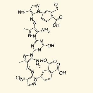 [C-]#[N+]c1cnn(-c2ccc(C(=O)O)c(C(=O)O)c2)c1/N=N/c1c(C)nn(-c2nc(O)nc(-n3nc(C)c(/N=N/c4c(C#N)cnn4-c4ccc(C(=O)O)c(C=O)c4)c3N)n2)c1N